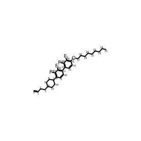 C=CCCC1CCC(c2ccc(-c3ccc(OCCCCCCCCC)c(F)c3F)c(F)c2F)CC1